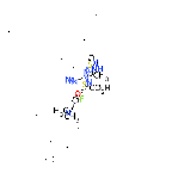 Cc1cc(N(CCCN=[N+]=[N-])c2nc(C(=O)O)c(CCCOc3ccc(C#CCN(C)C)cc3F)s2)nnc1Nc1nc2ccccc2s1